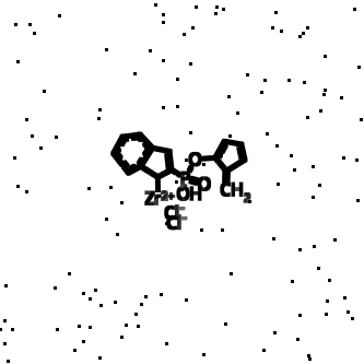 C=C1C=CC=C1OP(=O)(O)C1=Cc2ccccc2[CH]1[Zr+2].[Cl-].[Cl-]